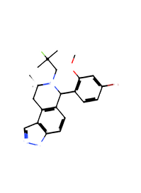 COc1cc(Br)ccc1C1c2ccc3[nH]ncc3c2C[C@@H](C)N1CC(C)(C)F